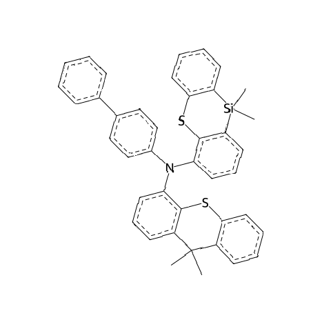 CC1(C)c2ccccc2Sc2c(N(c3ccc(-c4ccccc4)cc3)c3cccc4c3Sc3ccccc3[Si]4(C)C)cccc21